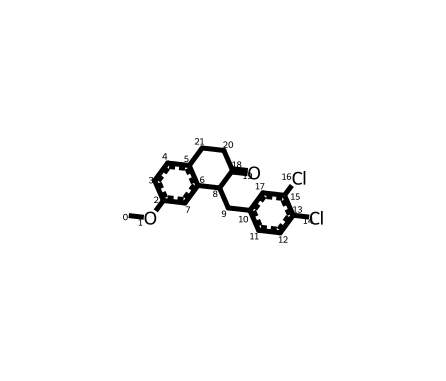 COc1ccc2c(c1)C(Cc1ccc(Cl)c(Cl)c1)C(=O)CC2